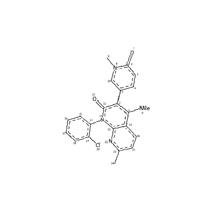 CNc1c(-c2ccc(=O)n(C)c2)c(=O)n(-c2ccccc2Cl)c2nc(C)ccc12